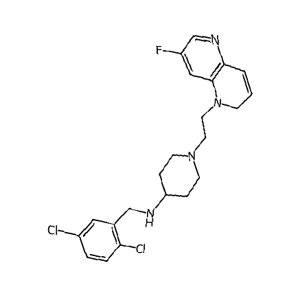 Fc1cnc2c(c1)N(CCN1CCC(NCc3cc(Cl)ccc3Cl)CC1)CC=C2